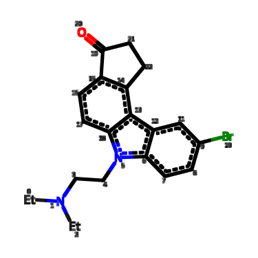 CCN(CC)CCn1c2ccc(Br)cc2c2c3c(ccc21)C(=O)CC3